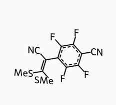 CSC(SC)=C(C#N)c1c(F)c(F)c(C#N)c(F)c1F